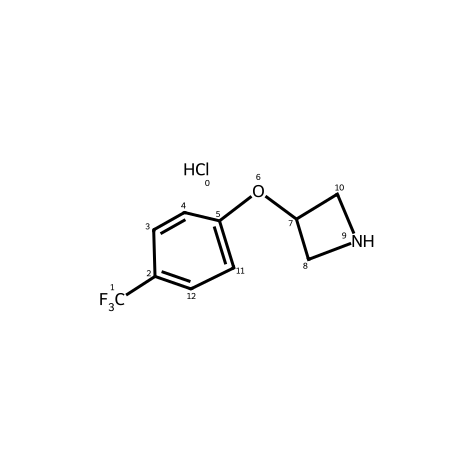 Cl.FC(F)(F)c1ccc(OC2CNC2)cc1